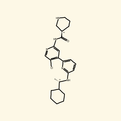 C[C@H](Nc1cccc(-c2cc(NC(=O)[C@@H]3CCCNC3)ncc2Cl)n1)C1CCCCC1